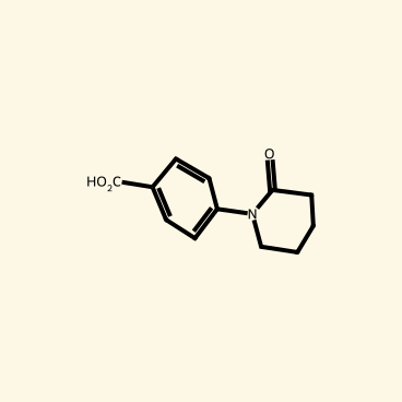 O=C(O)c1ccc(N2CCCCC2=O)cc1